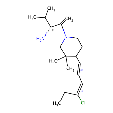 C=C([C@H](N)C(C)C)N1CCC(/C=C/C=C(/Cl)CC)C(C)(C)C1